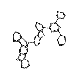 C1=CCC(c2nc(-c3ccccc3)nc(-c3cccc4c3oc3ccc(-n5c6ccccc6c6cc7oc8ccccc8c7cc65)cc34)n2)C=C1